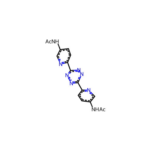 CC(=O)Nc1ccc(-c2nnc(-c3ccc(NC(C)=O)cn3)nn2)nc1